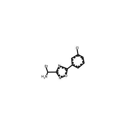 CCC(N)c1noc(-c2cccc(Cl)c2)n1